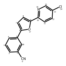 N#Cc1cccc(-c2ccc(-c3ccc(Cl)cn3)o2)c1